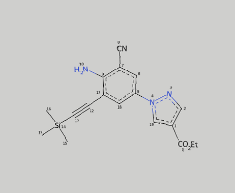 CCOC(=O)c1cnn(-c2cc(C#N)c(N)c(C#C[Si](C)(C)C)c2)c1